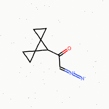 [N-]=[N+]=CC(=O)C1C2(CC2)C12CC2